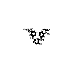 CCN1C(=O)COc2ccc(Nc3nc(Nc4cccc(S(=O)(=O)NC)c4)ncc3Cl)cc21